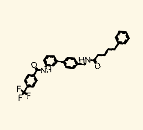 O=C(CCCCc1ccccc1)NCc1ccc(-c2cccc(NC(=O)c3ccc(C(F)(F)F)cc3)c2)cc1